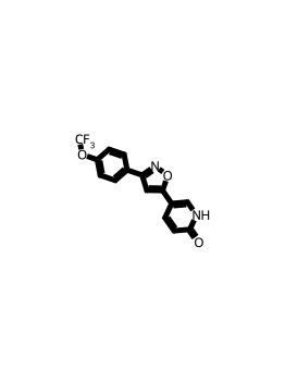 O=c1ccc(-c2cc(-c3ccc(OC(F)(F)F)cc3)no2)c[nH]1